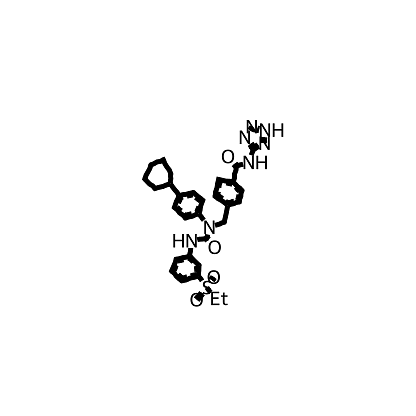 CCS(=O)(=O)c1cccc(NC(=O)N(Cc2ccc(C(=O)Nc3nn[nH]n3)cc2)c2ccc(C3CCCCC3)cc2)c1